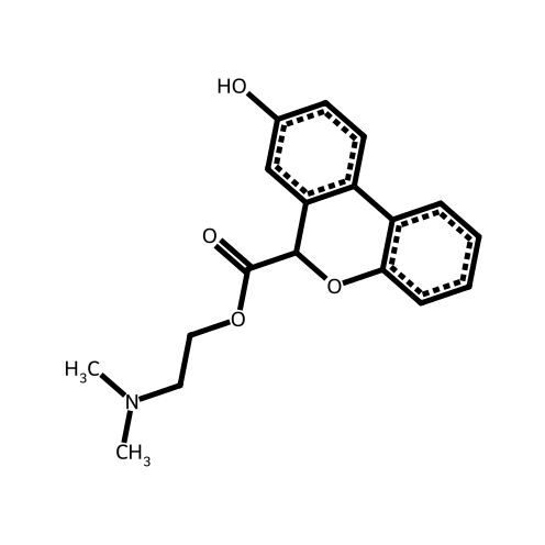 CN(C)CCOC(=O)C1Oc2ccccc2-c2ccc(O)cc21